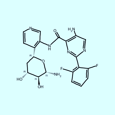 Nc1cnc(-c2c(F)cccc2F)nc1C(=O)Nc1cnccc1[C@H]1C[C@@H](O)[C@H](O)[C@@H](N)O1